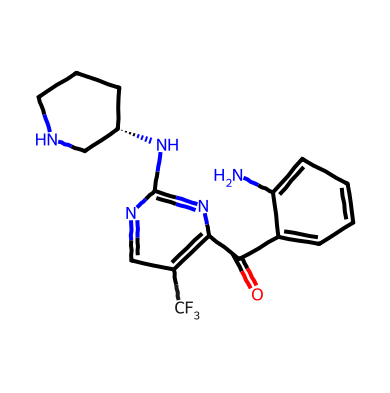 Nc1ccccc1C(=O)c1nc(N[C@H]2CCCNC2)ncc1C(F)(F)F